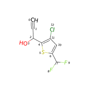 C#CC(O)c1sc(C(F)F)cc1Cl